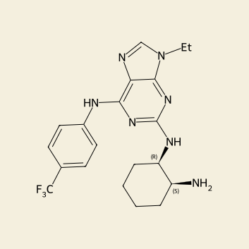 CCn1cnc2c(Nc3ccc(C(F)(F)F)cc3)nc(N[C@@H]3CCCC[C@@H]3N)nc21